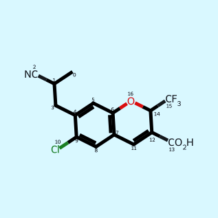 CC(C#N)Cc1cc2c(cc1Cl)C=C(C(=O)O)C(C(F)(F)F)O2